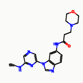 CC(C)(C)Nc1cncc(-n2cnc3ccc(NC(=O)CCN4CCOCC4)cc32)n1